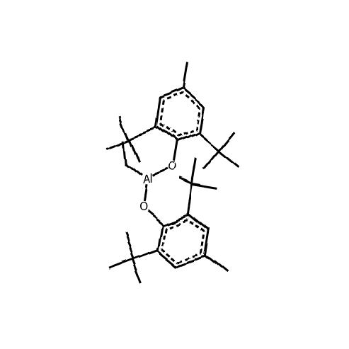 [CH2][CH2][Al]([O]c1c(C(C)(C)C)cc(C)cc1C(C)(C)C)[O]c1c(C(C)(C)C)cc(C)cc1C(C)(C)C